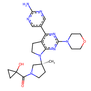 C[C@]1(N2CCc3c(-c4cnc(N)nc4)nc(N4CCOCC4)nc32)CCN(C(=O)C2(O)CC2)C1